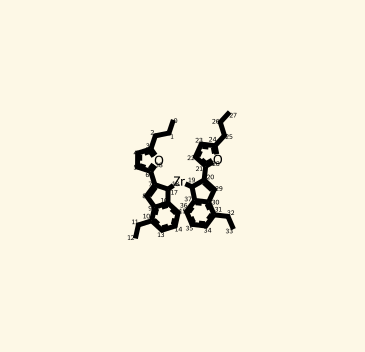 CCCc1ccc(C2=Cc3c(CC)cccc3[CH]2[Zr][CH]2C(c3ccc(CCC)o3)=Cc3c(CC)cccc32)o1